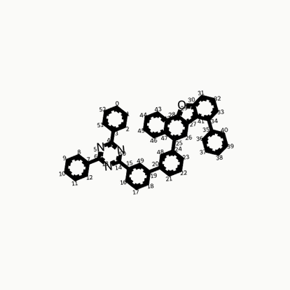 c1ccc(-c2nc(-c3ccccc3)nc(-c3cccc(-c4cccc(-c5cc6c(oc7cccc(-c8ccccc8)c76)c6ccccc56)c4)c3)n2)cc1